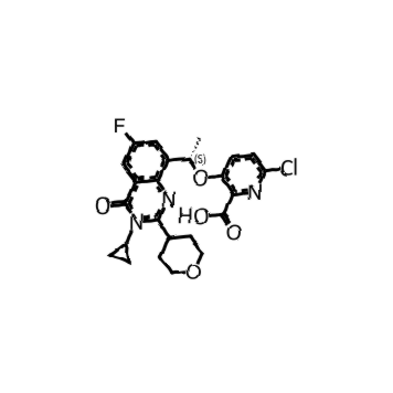 C[C@H](Oc1ccc(Cl)nc1C(=O)O)c1cc(F)cc2c(=O)n(C3CC3)c(C3CCOCC3)nc12